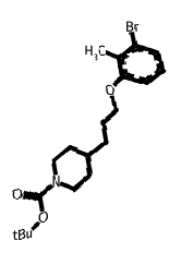 Cc1c(Br)cccc1OCCCC1CCN(C(=O)OC(C)(C)C)CC1